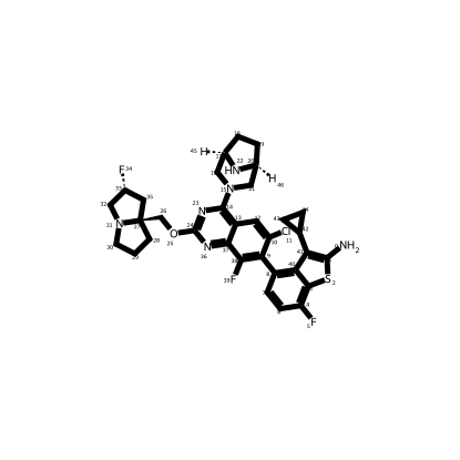 Nc1sc2c(F)ccc(-c3c(Cl)cc4c(N5C[C@H]6CC[C@@H](C5)N6)nc(OC[C@@]56CCCN5C[C@H](F)C6)nc4c3F)c2c1C1CC1